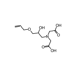 C=CCOCC(O)CN(CC(=O)O)CC(=O)O